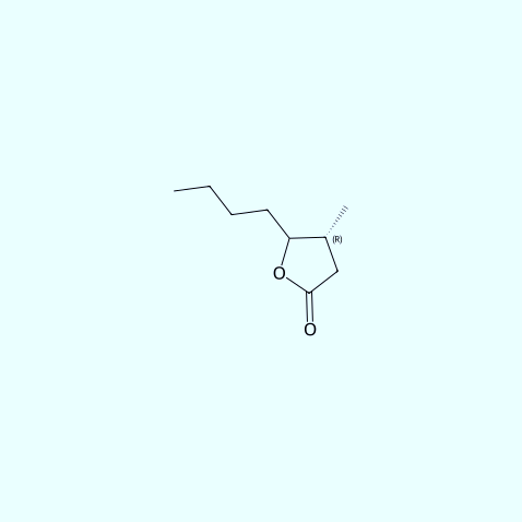 CCCCC1OC(=O)C[C@H]1C